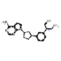 N=C/C(=C\N)c1cccc(C2CCC(n3ccc4c(N)ncnc43)C2)c1